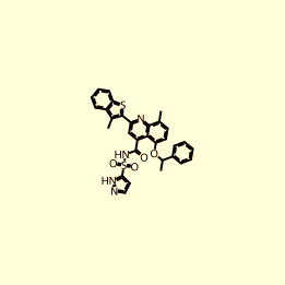 Cc1c(-c2cc(C(=O)NS(=O)(=O)c3ccn[nH]3)c3c(OC(C)c4ccccc4)ccc(C)c3n2)sc2ccccc12